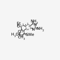 CCOc1cc(Cc2cnc(N)nc2N)cc2c1OC(C)(C)C=C2SC